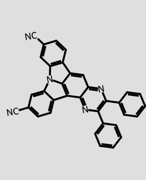 N#Cc1ccc2c3cc4nc(-c5ccccc5)c(-c5ccccc5)nc4c4c5ccc(C#N)cc5n(c2c1)c34